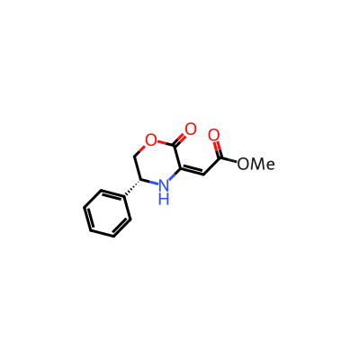 COC(=O)/C=C1/N[C@H](c2ccccc2)COC1=O